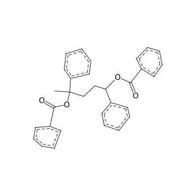 CC(CCC(OC(=O)c1ccccc1)c1ccccc1)(OC(=O)c1ccccc1)c1ccccc1